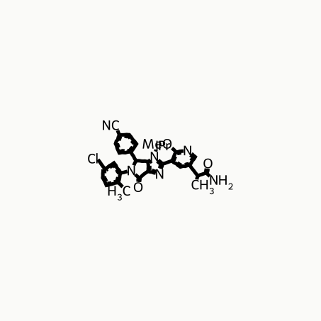 COc1ncc(C(C)C(N)=O)cc1-c1nc2c(n1C(C)C)C(c1ccc(C#N)cc1)N(c1cc(Cl)ccc1C)C2=O